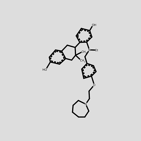 CCN(Cc1ccc(OCCN2CCCCCC2)cc1)c1cc(O)ccc1C1Cc2ccc(O)cc2CC1(C)C